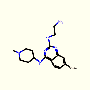 COc1ccc2c(NC3CCN(C)CC3)nc(NCCN)nc2c1